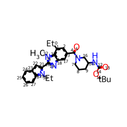 CCc1cc(C(=O)N2CCCC(NC(=O)OC(C)(C)C)C2)cc2nc(-c3cc4ccccc4n3CC)n(C)c12